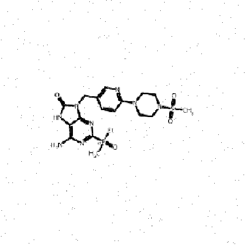 CC[P@](C)(=O)c1nc(N)c2[nH]c(=O)n(Cc3ccc(N4CCN(S(C)(=O)=O)CC4)nc3)c2n1